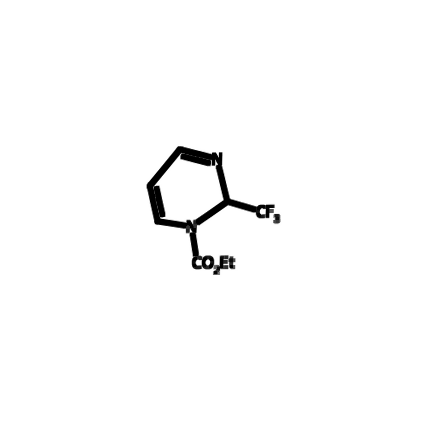 CCOC(=O)N1C=CC=NC1C(F)(F)F